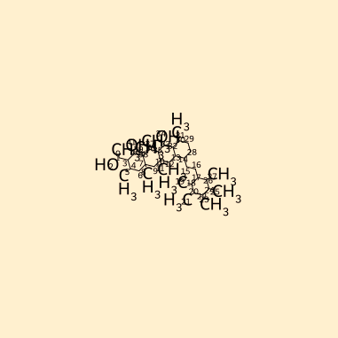 CC(O)C1C(C)CC2(C)CC3(C)CC4C(CCC5C(C)C(C)C(C)C(C)C5C)CCC(C)C4C(O)C3C(C)C2(C)C1O